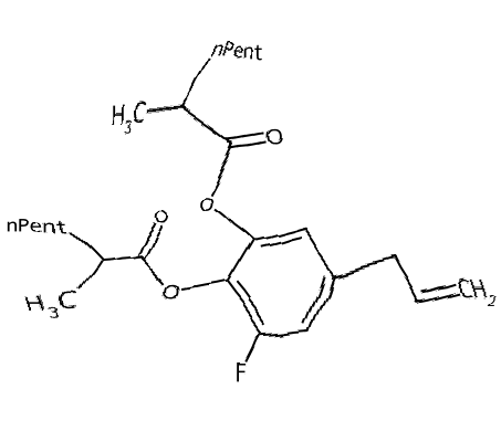 C=CCc1cc(F)c(OC(=O)C(C)CCCCC)c(OC(=O)C(C)CCCCC)c1